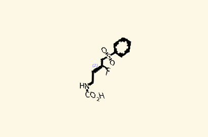 O=C(O)NC/C=C(\F)CS(=O)(=O)c1ccccc1